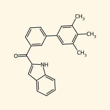 Cc1cc(-c2cccc(C(=O)c3cc4ccccc4[nH]3)c2)cc(C)c1C